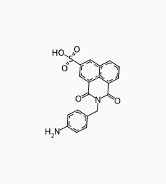 Nc1ccc(CN2C(=O)c3cccc4cc(S(=O)(=O)O)cc(c34)C2=O)cc1